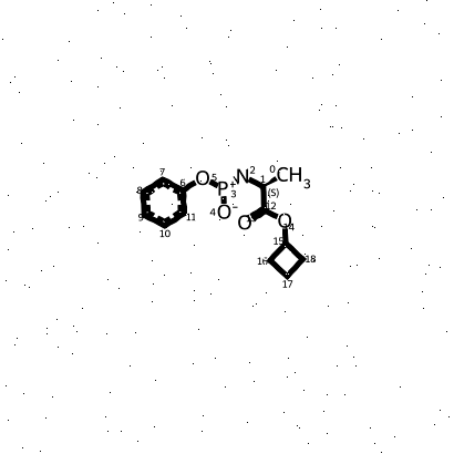 C[C@H](N=[P+]([O-])Oc1ccccc1)C(=O)OC1CCC1